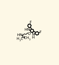 CN(C)C(=N)CCCOc1c2[nH]c3ccc(F)cc3c2cc2c1[nH]c1ccc(F)cc12